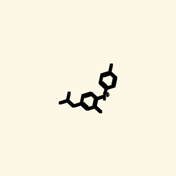 Cc1ccc([I+]c2ccc(CC(C)C)cc2C)cc1